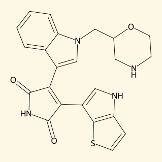 O=C1NC(=O)C(c2c[nH]c3ccsc23)=C1c1cn(CC2CNCCO2)c2ccccc12